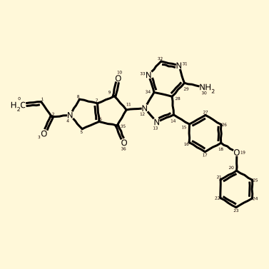 C=CC(=O)N1CC2=C(C1)C(=O)C(n1nc(-c3ccc(Oc4ccccc4)cc3)c3c(N)ncnc31)C2=O